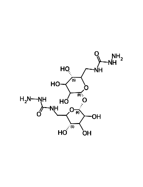 NNC(=O)NCC1O[C@H](O[C@H]2OC(CNC(=O)NN)[C@@H](O)C(O)C2O)C(O)C(O)[C@@H]1O